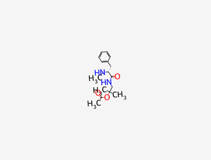 CN[C@H](Cc1ccccc1)C(=O)NCC(C)(C)OC(C)=O